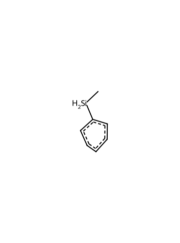 C[SiH2]c1ccccc1